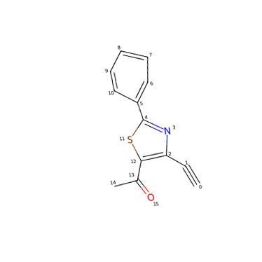 C#Cc1nc(-c2ccccc2)sc1C(C)=O